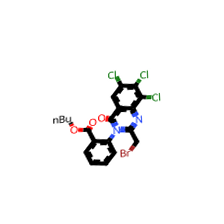 CCCCOC(=O)c1ccccc1-n1c(CBr)nc2c(Cl)c(Cl)c(Cl)cc2c1=O